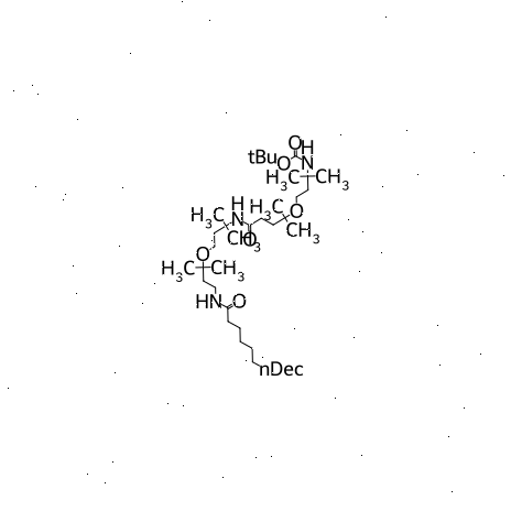 CCCCCCCCCCCCCCCC(=O)NCCC(C)(C)OCCC(C)(C)NC(=O)CCC(C)(C)OCCC(C)(C)NC(=O)OC(C)(C)C